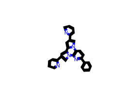 c1ccc(-c2ccc3c(n2)n2cc(-c4ccccn4)cc2c2cc(-c4ccccn4)cn23)cc1